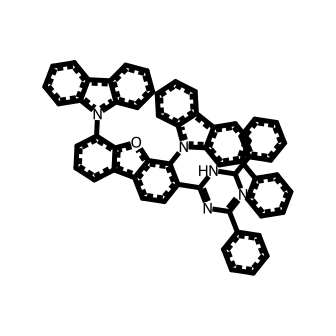 c1ccc(C2=NC(c3ccccc3)NC(c3ccc4c(oc5c(-n6c7ccccc7c7ccccc76)cccc54)c3-n3c4ccccc4c4ccc(-c5ccccc5)cc43)=N2)cc1